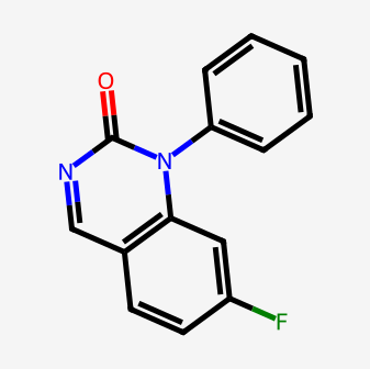 O=c1ncc2ccc(F)cc2n1-c1ccccc1